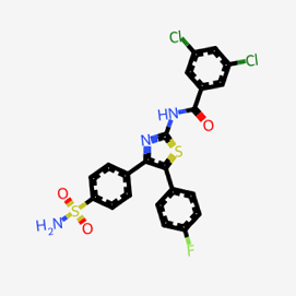 NS(=O)(=O)c1ccc(-c2nc(NC(=O)c3cc(Cl)cc(Cl)c3)sc2-c2ccc(F)cc2)cc1